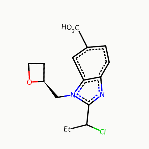 CCC(Cl)c1nc2ccc(C(=O)O)cc2n1C[C@@H]1CCO1